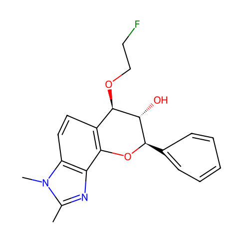 Cc1nc2c3c(ccc2n1C)[C@@H](OCCF)[C@H](O)[C@@H](c1ccccc1)O3